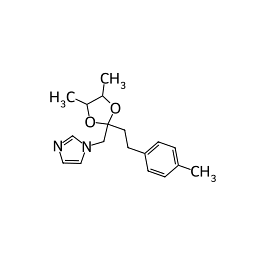 Cc1ccc(CCC2(Cn3ccnc3)OC(C)C(C)O2)cc1